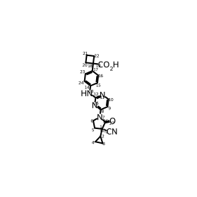 N#C[C@@]1(C2CC2)CCN(c2ccnc(Nc3ccc(C4(C(=O)O)CCC4)cc3)n2)C1=O